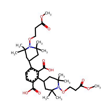 COC(=O)CCON1C(C)(C)CC(c2ccc(C(=O)O)c(C3CC(C)(C)N(OCCC(=O)OC)C(C)(C)C3)c2C(=O)O)CC1(C)C